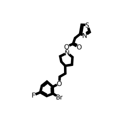 O=C(Cc1cscn1)ON1CCC(CCOc2ccc(F)cc2Br)CC1